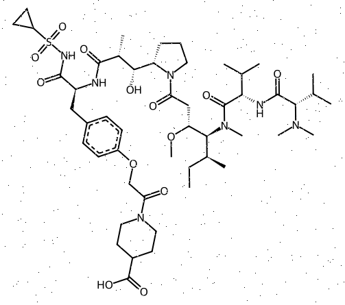 CC[C@H](C)[C@@H]([C@@H](CC(=O)N1CCC[C@H]1[C@H](O)[C@@H](C)C(=O)N[C@@H](Cc1ccc(OCC(=O)N2CCC(C(=O)O)CC2)cc1)C(=O)NS(=O)(=O)C1CC1)OC)N(C)C(=O)[C@@H](NC(=O)[C@H](C(C)C)N(C)C)C(C)C